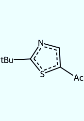 CC(=O)c1cnc(C(C)(C)C)s1